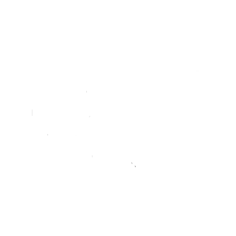 CCOC1OC(N(C)C)=C(c2ccc(CC)c(C)c2)C1=O